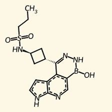 CCCS(=O)(=O)N[C@H]1C[C@H](C2=NNB(O)c3cnc4[nH]ccc4c32)C1